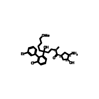 CCc1cccc(-c2c(Cl)cccc2C(O)(CCCCOC)CCN(C)C(=O)[C@H]2C[C@@H](N)[C@@H](O)C2)c1